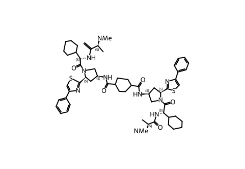 C=C(N[C@H](C(=O)N1C[C@@H](NC(=O)C2CCC(C(=O)N[C@H]3C[C@@H](c4nc(-c5ccccc5)cs4)N(C(=O)[C@@H](NC(=O)[C@H](C)NC)C4CCCCC4)C3)CC2)C[C@H]1c1nc(-c2ccccc2)cs1)C1CCCCC1)[C@H](C)NC